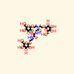 O=C(CNCC(=O)N(CCO[C@H]1O[C@H](CO)[C@@H](O)[C@H](O)[C@@H]1O)CCO[C@H]1O[C@H](CO)[C@@H](O)[C@H](O)[C@@H]1O)NCCO[C@@H]1O[C@H](CO)[C@@H](O)[C@H](O)[C@H]1O